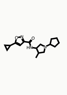 CC1CN(C2CCCC2)CC1NC(=O)c1cc(C2CC2)on1